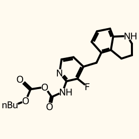 CCCCOC(=O)OC(=O)Nc1nccc(Cc2cccc3c2CCCN3)c1F